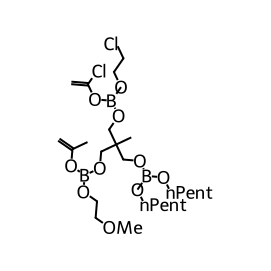 C=C(C)OB(OCCOC)OCC(C)(COB(OCCCCC)OCCCCC)COB(OCCCl)OC(=C)Cl